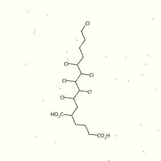 O=C(O)CCCC(CC(Cl)C(Cl)C(Cl)C(Cl)C(Cl)CCCCCl)C(=O)O